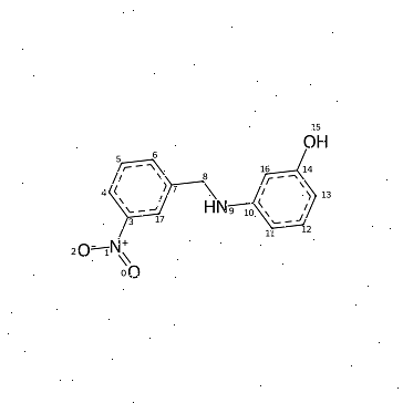 O=[N+]([O-])c1cccc(CNc2cccc(O)c2)c1